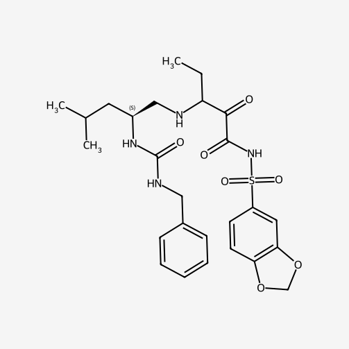 CCC(NC[C@H](CC(C)C)NC(=O)NCc1ccccc1)C(=O)C(=O)NS(=O)(=O)c1ccc2c(c1)OCO2